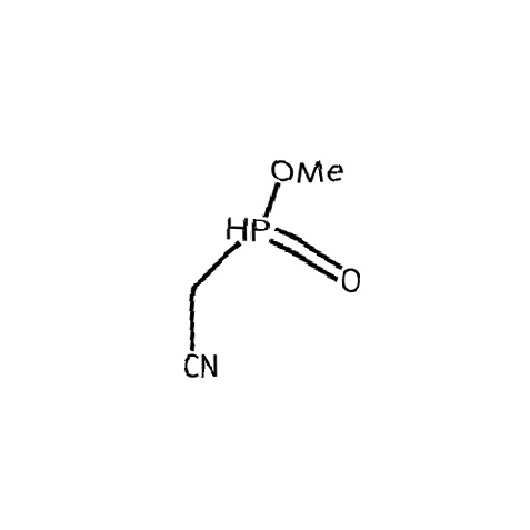 CO[PH](=O)CC#N